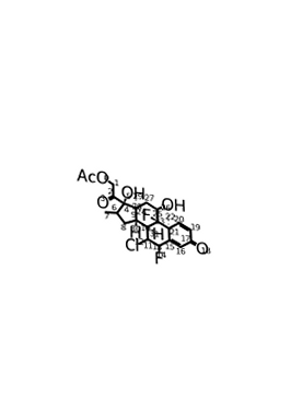 CC(=O)OCC(=O)[C@@]1(O)C(C)C[C@H]2[C@@H]3C(Cl)C(F)C4=CC(=O)C=C[C@]4(C)[C@@]3(F)C(O)C[C@@]21C